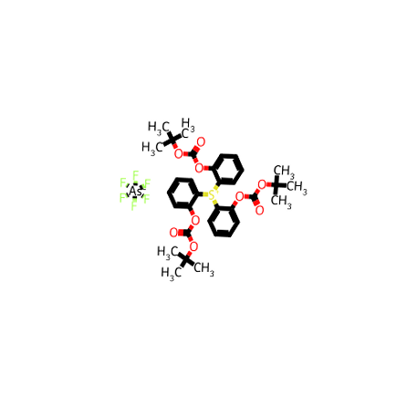 CC(C)(C)OC(=O)Oc1ccccc1[S+](c1ccccc1OC(=O)OC(C)(C)C)c1ccccc1OC(=O)OC(C)(C)C.F[As-](F)(F)(F)(F)F